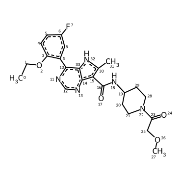 CCOc1ccc(F)cc1-c1ncnc2c(C(=O)NC3CCN(C(=O)COC)CC3)c(C)[nH]c12